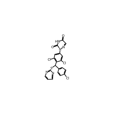 O=c1cnn(-c2cc(Cl)c(C(Sc3ncccn3)c3ccc(Cl)cc3)c(Cl)c2)c(=O)[nH]1